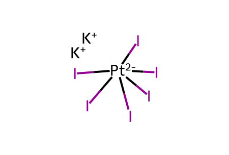 [I][Pt-2]([I])([I])([I])([I])[I].[K+].[K+]